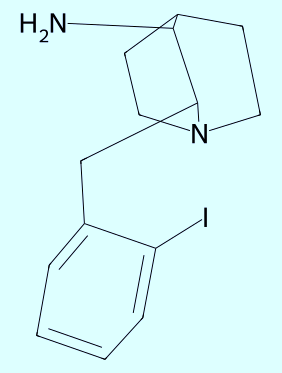 NC1C2CCN(CC2)C1Cc1ccccc1I